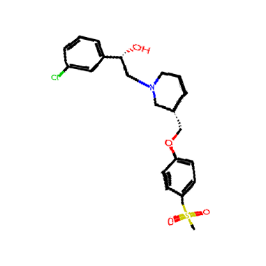 CS(=O)(=O)c1ccc(OC[C@H]2CCCN(C[C@@H](O)c3cccc(Cl)c3)C2)cc1